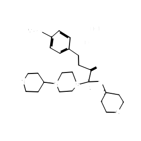 COc1ccc(CCC(=O)[C@](OC2CCNCC2)(C(=O)O)N2CCN(C3CCNCC3)CC2)cc1.Cl.Cl.Cl